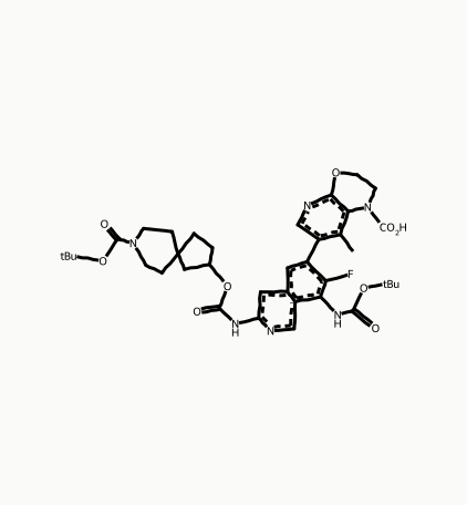 Cc1c(-c2cc3cc(NC(=O)OC4CCC5(CCN(C(=O)OC(C)(C)C)CC5)C4)ncc3c(NC(=O)OC(C)(C)C)c2F)cnc2c1N(C(=O)O)CCO2